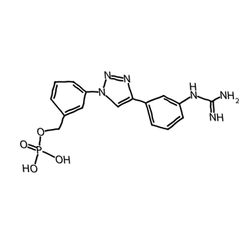 N=C(N)Nc1cccc(-c2cn(-c3cccc(COP(=O)(O)O)c3)nn2)c1